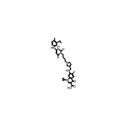 CCc1cc(Nc2cc(=O)n(CCCCN3CCC(CNc4cc5c(cc4F)c(=O)c(C(=O)O)cn5C4CC4)C3)c(=O)[nH]2)ccc1C